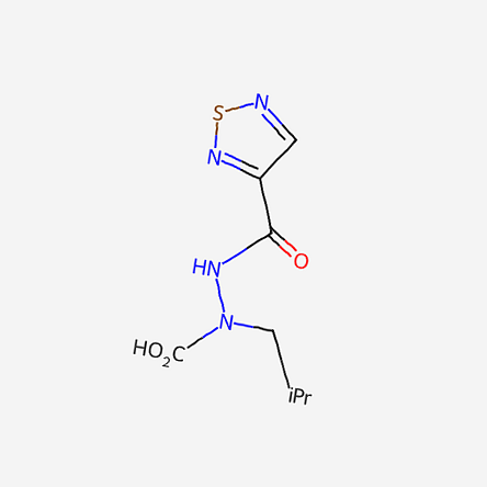 CC(C)CN(NC(=O)c1cnsn1)C(=O)O